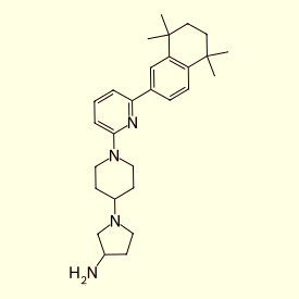 CC1(C)CCC(C)(C)c2cc(-c3cccc(N4CCC(N5CCC(N)C5)CC4)n3)ccc21